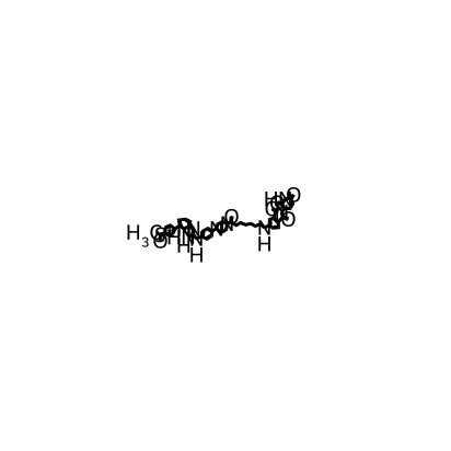 C[S+]([O-])c1ccc(-c2ccc/c(=N/C(=N)Nc3ccc(N4CCN(C(=O)CCCCCCNc5ccc6c(c5)C(=O)N(C5CCC(=O)NC5=O)C6=O)CC4)cc3)[nH]2)cc1